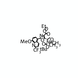 CCOOC(=O)c1nc(-c2ccc(OC)c3nc(C(F)(F)F)ccc23)oc1[C@H]1COC(C)(C)N1C(=O)OC(C)(C)C